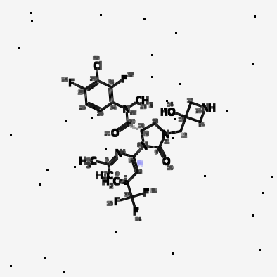 C=C(/C=C(\N=C(C)C)N1C(=O)N(CC2(O)CNC2)C[C@H]1C(=O)N(C)c1ccc(F)c(Cl)c1F)C(F)(F)F